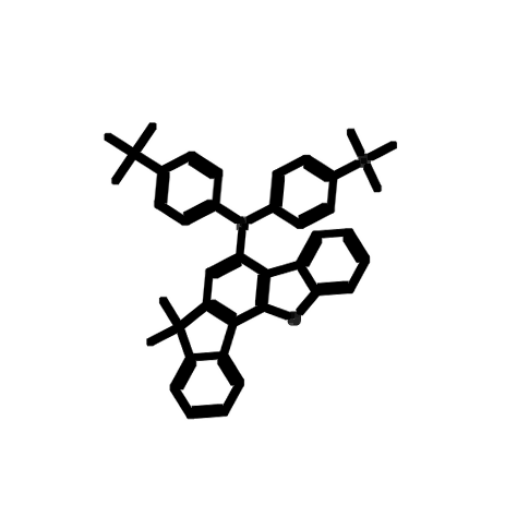 CC(C)(C)c1ccc(N(c2ccc([Si](C)(C)C)cc2)c2cc3c(c4oc5ccccc5c24)-c2ccccc2C3(C)C)cc1